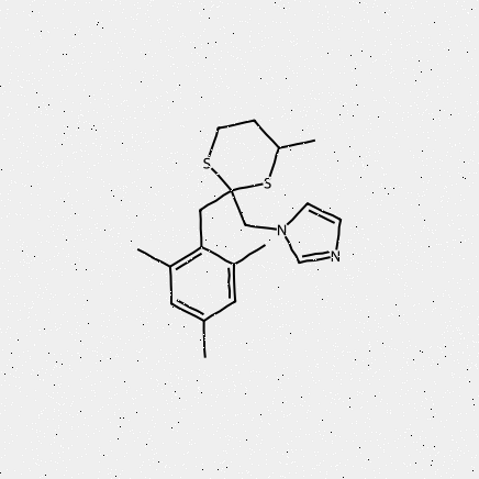 Cc1cc(C)c(CC2(Cn3ccnc3)SCCC(C)S2)c(C)c1